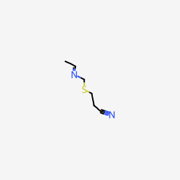 CC=NCSCCC#N